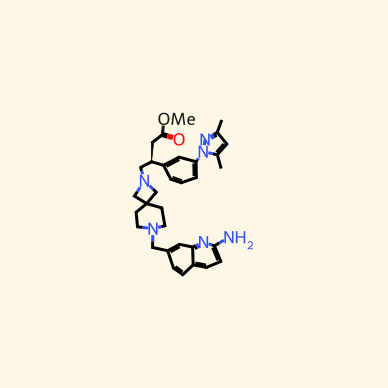 COC(=O)C[C@H](CN1CC2(CCN(Cc3ccc4ccc(N)nc4c3)CC2)C1)c1cccc(-n2nc(C)cc2C)c1